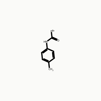 CCCC(=O)Nc1ccc(C)cc1